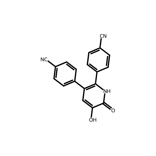 N#Cc1ccc(-c2cc(O)c(=O)[nH]c2-c2ccc(C#N)cc2)cc1